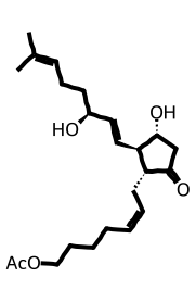 CC(=O)OCCCC/C=C\C[C@H]1C(=O)C[C@@H](O)[C@@H]1/C=C/[C@@H](O)CCC=C(C)C